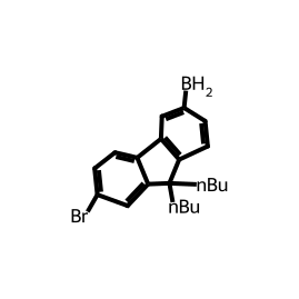 Bc1ccc2c(c1)-c1ccc(Br)cc1C2(CCCC)CCCC